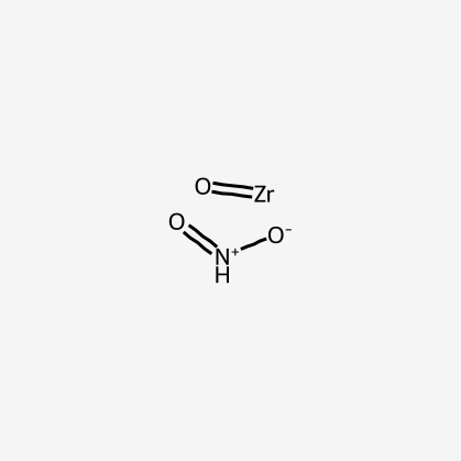 O=[NH+][O-].[O]=[Zr]